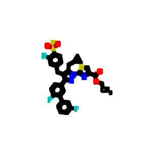 CCOC(=O)c1csc(-n2nc(-c3ccc(F)c(-c4cccc(F)c4)c3)c(Cc3ccc([SH](=O)=O)c(F)c3)c2CC2CC2)n1